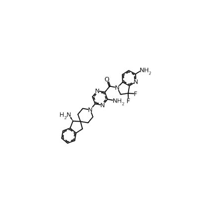 Nc1ccc2c(n1)C(F)(F)CN2C(=O)c1ncc(N2CCC3(CC2)Cc2ccccc2[C@H]3N)nc1N